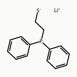 [Li+].[S-]CCP(c1ccccc1)c1ccccc1